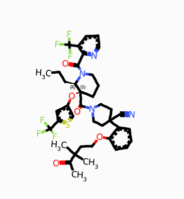 CCC[C@H]1N(C(=O)c2ncccc2C(F)(F)F)CCC[C@@]1(Oc1csc(C(F)(F)F)c1)C(=O)N1CCC(C#N)(c2ccccc2OCCC(C)(C)C(C)=O)CC1